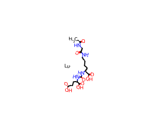 CC(=O)NCC(=O)NCCCCC(NC(=O)NC(CCC(=O)O)C(=O)O)C(=O)O.[Lu]